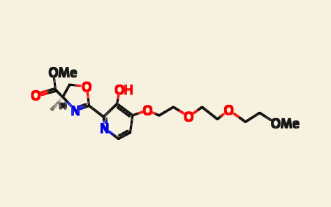 COCCOCCOCCOc1ccnc(C2=N[C@@](C)(C(=O)OC)CO2)c1O